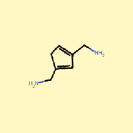 NCC1=CCC(CN)=C1